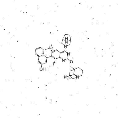 CC1N2CCCC1(COc1nc(N3CC4CCC(C3)N4)c3cnc(-c4cc(O)cc5cccc(C6CC6)c45)c(F)c3n1)CC(F)C2